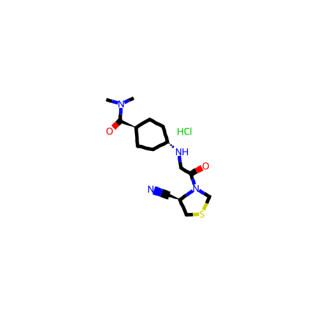 CN(C)C(=O)[C@H]1CC[C@H](NCC(=O)N2CSC[C@H]2C#N)CC1.Cl